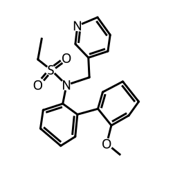 CCS(=O)(=O)N(Cc1cccnc1)c1ccccc1-c1ccccc1OC